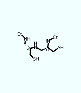 CCNC[C@@H](CS)NC[C@H](CS)NCC